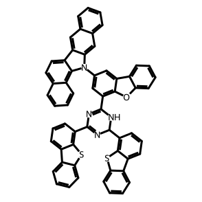 c1ccc2cc3c(cc2c1)c1ccc2ccccc2c1n3-c1cc(C2=NC(c3cccc4c3sc3ccccc34)=NC(c3cccc4c3sc3ccccc34)N2)c2oc3ccccc3c2c1